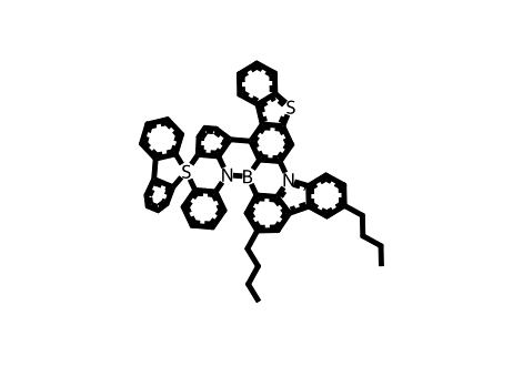 CCCCc1ccc2c(c1)c1cc(CCCC)cc3c1n2-c1cc2sc4ccccc4c2c2c1B3N1c3ccccc3S3(c4ccccc4-c4ccccc43)c3cccc-2c31